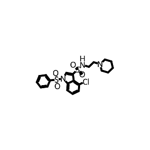 O=S(=O)(NCCN1CCCCC1)c1cn(S(=O)(=O)c2ccccc2)c2cccc(Cl)c12